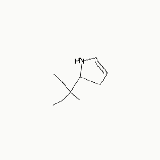 CC(C)(C)C1CC=CN1